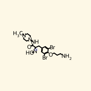 CN1CCN(NC(=O)/C(Cc2cc(Br)c(OCCCN)c(Br)c2)=N\O)CC1